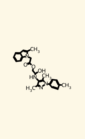 Cc1ccc(-n2nc(C)c(NC(O)COC(=O)Cn3c(C)cc4ccccc43)c2C)cc1